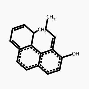 CC/C=c1/c(O)ccc2ccc3c(c12)C(C)C=CC=3